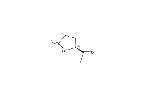 CC(=O)[C@@H]1CCC(=S)N1